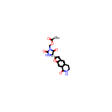 CC(C)(C)C(=O)OCN1C(=O)N[C@@H](c2cc3cc4c(cc3o2)C(=O)NCC4)C1=O